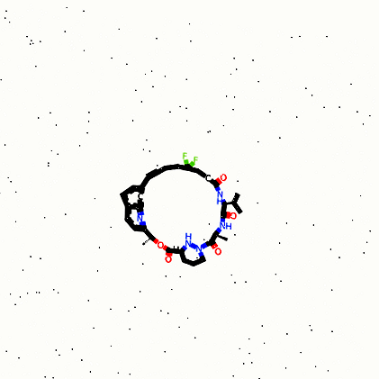 CC(C)[C@@H]1NC(=O)CCC(F)(F)CC/C=C/c2ccc3ccc(nc3c2)[C@@H](C)OC(=O)[C@@H]2CCCN(N2)C(=O)[C@H](C)NC1=O